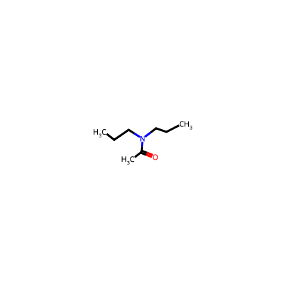 CCCN(CCC)C(C)=O